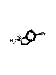 C=S1(=O)CCc2cc(C(C)C)ccc21